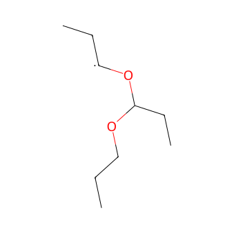 CC[CH]OC(CC)OCCC